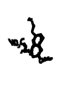 COc1ccc2cc(CCC(C)=O)ccc2c1.NCC(=O)O